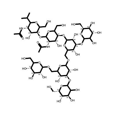 CC(=O)N[C@@H]1C(O[C@@H]2C(CO)OC(C(C)C)[C@@H](NC(C)=O)[C@H]2O)OC(CO)[C@@H](OC2OC(COC3OC(COC4OC(CO)[C@@H](O)[C@H](O)[C@H]4O)[C@@H](O)[C@H](OC4O[C@@H](CO)[C@@H](O)[C@H](O)C4O)[C@H]3O)[C@@H](O)[C@H](OC3O[C@@H](CO)[C@@H](O)[C@H](O)C3O)[C@H]2O)[C@@H]1O